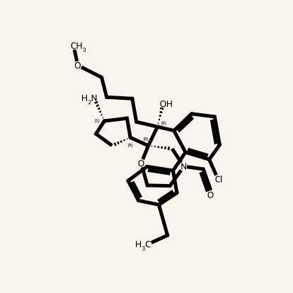 CCc1cccc(-c2c(Cl)cccc2[C@](O)(CCCCOC)[C@@]2([C@@H]3CC[C@H](N)C3)CN(C=O)CCO2)c1